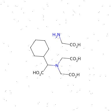 NCC(=O)O.O=C(O)CN(CC(=O)O)C(C(=O)O)C1[CH]CCCC1